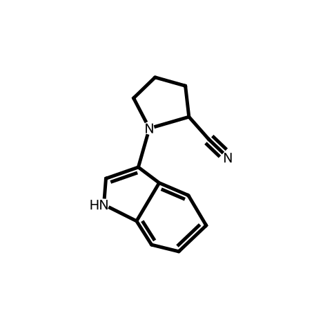 N#CC1CCCN1c1c[nH]c2ccccc12